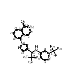 O=c1[nH]ccc2c(-n3cc(C(Nc4ccnc(C(F)(F)F)c4)C(F)(F)F)cn3)cccc12